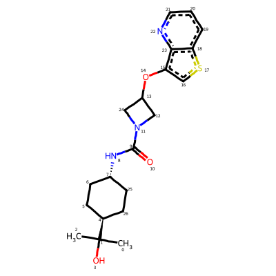 CC(C)(O)[C@H]1CC[C@H](NC(=O)N2CC(Oc3csc4cccnc34)C2)CC1